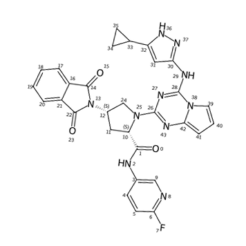 O=C(Nc1ccc(F)nc1)[C@@H]1C[C@H](N2C(=O)c3ccccc3C2=O)CN1c1nc(Nc2cc(C3CC3)[nH]n2)n2cccc2n1